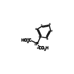 O=C(O)P(C(=O)O)c1ccccc1